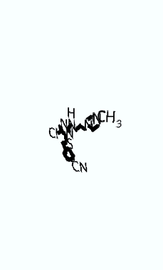 CN1CCN(CCCNc2ncc(Cl)c(-c3cc4ccc(C#N)cc4s3)n2)CC1